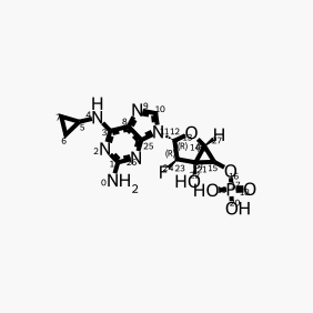 Nc1nc(NC2CC2)c2ncn([C@@H]3O[C@@H]4C(OP(=O)(O)O)[C@]4(O)[C@H]3F)c2n1